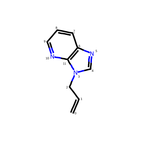 C=CCn1cnc2[c]ccnc21